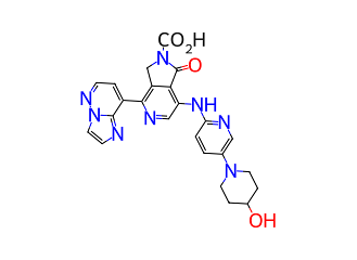 O=C(O)N1Cc2c(-c3ccnn4ccnc34)ncc(Nc3ccc(N4CCC(O)CC4)cn3)c2C1=O